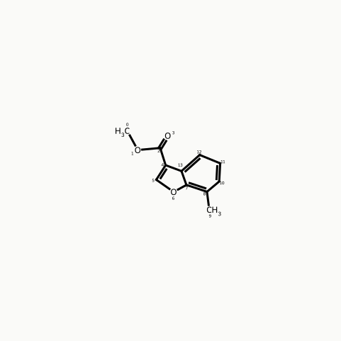 COC(=O)c1coc2c(C)cccc12